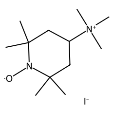 CC1(C)CC([N+](C)(C)C)CC(C)(C)N1[O].[I-]